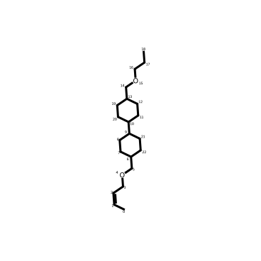 C/C=C\COCC1CCC(C2CCC(COCCC)CC2)CC1